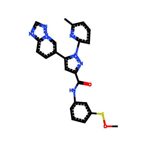 COSc1cccc(NC(=O)c2cc(-c3ccc4ncnn4c3)n(-c3cccc(C)n3)n2)c1